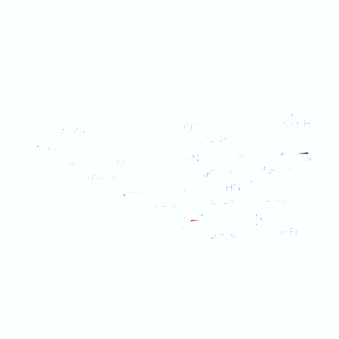 CC(=O)OCC(COC(C)=O)OC(=O)CCCC(=O)O[C@H]1CC[C@H](N(CC(C)C)c2ccc([C@H](C)CC(=O)O)cc2Nc2ccc(Cl)nc2)CC1